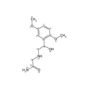 COc1ccc(OC)c(C(O)CNCC(N)=O)c1